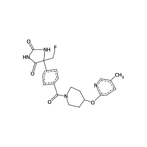 Cc1ccc(OC2CCN(C(=O)c3ccc(C4(CF)NC(=O)NC4=O)cc3)CC2)nc1